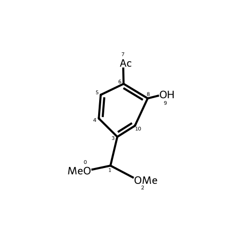 COC(OC)c1ccc(C(C)=O)c(O)c1